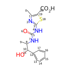 Cc1nc(NC(=O)NC(C)C(O)c2ccccc2)sc1C(=O)O